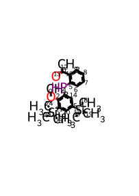 COc1c(Pc2ccccc2C(C)=O)cc([Si](C)(C)C)cc1[Si](C)(C)C